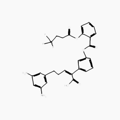 Nc1cc(N)cc(CCC=C(C(=O)O)c2cccc(OC(=O)c3ccccc3OC(=O)CCC(F)(F)F)c2)c1